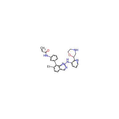 C=CC(=O)Nc1cccc(-c2c(CC)ccc3cnc(Nc4cccnc4C4CNCCO4)nc23)c1